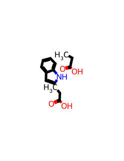 CCC(=O)O.CCC(=O)O.c1ccc2[nH]ccc2c1